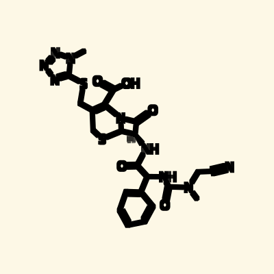 CN(CC#N)C(=O)NC(C(=O)N[C@@H]1C(=O)N2C(C(=O)O)=C(CSc3nnnn3C)CSC12)c1ccccc1